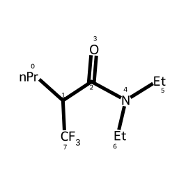 CCCC(C(=O)N(CC)CC)C(F)(F)F